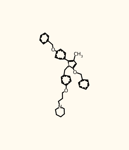 CC1=C(c2ccc(OCc3ccccc3)cc2)I(Cc2ccc(OCCCN3CCCCC3)cc2)C(OCc2ccccc2)=C1